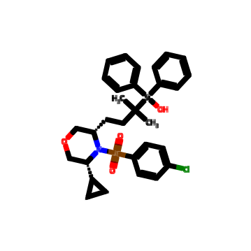 CC(C)(CC[C@H]1COC[C@@H](C2CC2)N1S(=O)(=O)c1ccc(Cl)cc1)[Si](O)(c1ccccc1)c1ccccc1